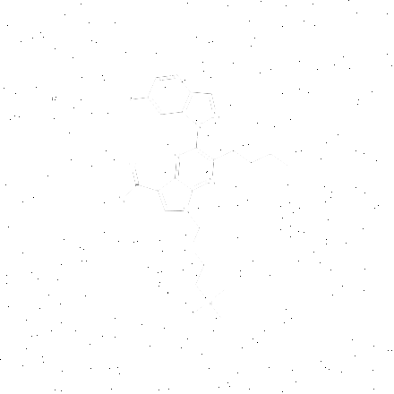 CCCCc1nc2c(nc1-n1ncc3ccc(F)cc31)c(C(N)=O)cn2COCC[Si](C)(C)C